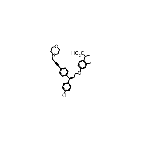 Cc1cc(OCC=C(c2ccc(Cl)cc2)c2ccc(C#CCN3CCOCC3)cc2)ccc1C(C)C(=O)O